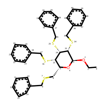 CCO[C@H]1O[C@H](CSCc2ccccc2)[C@H](SCc2ccccc2)[C@H](SCc2ccccc2)[C@@H]1SCc1ccccc1